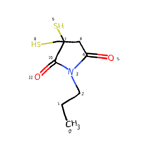 CCCN1C(=O)CC(S)(S)C1=O